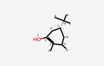 CC1=C(O)C[C@H](C(C)(C)C)CC1C